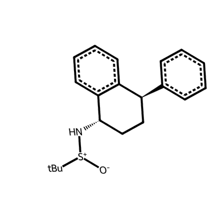 CC(C)(C)[S+]([O-])N[C@H]1CC[C@H](c2ccccc2)c2ccccc21